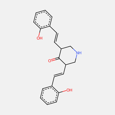 O=C1C(C=Cc2ccccc2O)CNCC1C=Cc1ccccc1O